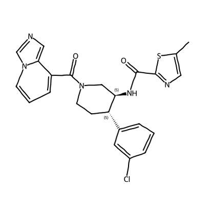 Cc1cnc(C(=O)N[C@@H]2CN(C(=O)c3cccn4cncc34)CC[C@H]2c2cccc(Cl)c2)s1